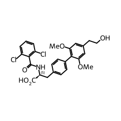 COc1cc(CCO)cc(OC)c1-c1ccc(C[C@H](NC(=O)c2c(Cl)cccc2Cl)C(=O)O)cc1